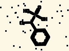 O=P(O)(O)C(Cl)c1ccccc1